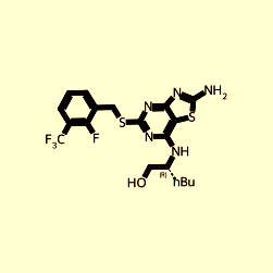 CCCC[C@H](CO)Nc1nc(SCc2cccc(C(F)(F)F)c2F)nc2nc(N)sc12